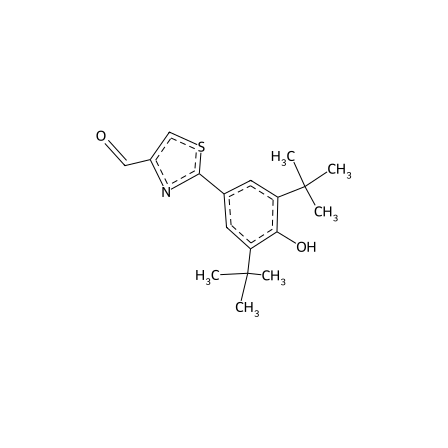 CC(C)(C)c1cc(-c2nc(C=O)cs2)cc(C(C)(C)C)c1O